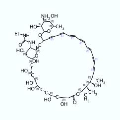 CCNC(=O)NC1[C@@H]2CC(OC3O[C@H](C)[C@@H](O)[C@H](N)[C@@H]3O)/C=C/C=C/C=C/C=C/C=C/C=C/C=C/[C@H](C)[C@@H](O)[C@@H](C)[C@H](C)OC(=O)C[C@H](O)C[C@H](O)CC[C@@H](O)[C@H](O)C[C@H](O)C[C@](O)(C[C@@H]1O)O2